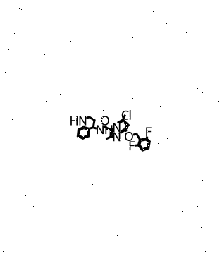 Cc1nc2c(OCc3c(F)cccc3F)cc(Cl)cn2c1C(=O)NC1CCNc2ccccc21